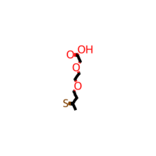 CC(=S)CCOCCOCC(=O)O